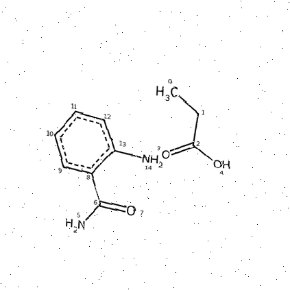 CCC(=O)O.NC(=O)c1ccccc1N